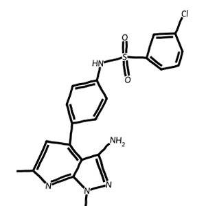 Cc1cc(-c2ccc(NS(=O)(=O)c3cccc(Cl)c3)cc2)c2c(N)nn(C)c2n1